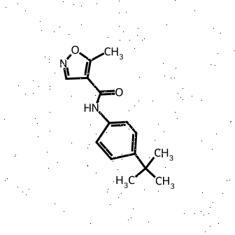 Cc1oncc1C(=O)Nc1ccc(C(C)(C)C)cc1